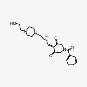 O=C1CN(C(=O)c2ccccc2)CC(=O)C1=CNCCN1CCN(CCO)CC1